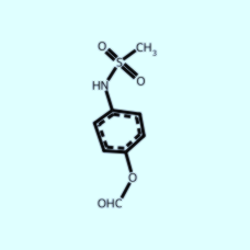 CS(=O)(=O)Nc1ccc(OC=O)cc1